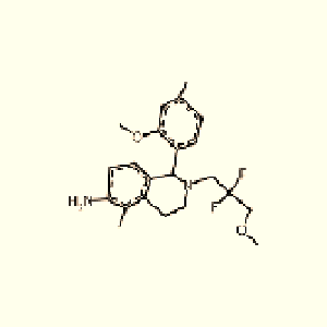 COCC(F)(F)CN1CCc2c(ccc(N)c2C)C1c1ccc(C)cc1OC